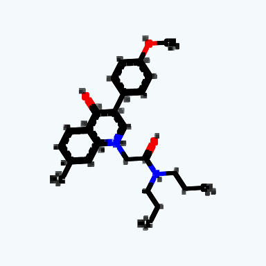 CCCN(CCC)C(=O)Cn1cc(-c2ccc(OC)cc2)c(=O)c2ccc(C)cc21